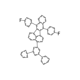 Fc1ccc(-c2c3c(c(-c4ccc(F)cc4)c4ccccc24)-c2ccc(-c4cc(-c5ccccc5)cc(-c5ccccc5)c4)c4cccc-3c24)cc1